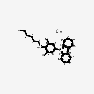 CCCCCCOc1c(C)cc(-[s+]2c3ccccc3c3ccccc32)cc1C.[Cl-]